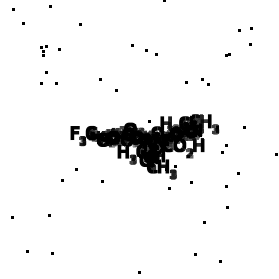 Cc1nc(C(=O)N2Cc3cc4c(cc3C[C@H]2C(=O)NC(Cc2ccc(-c3ccnc(C)c3C)cc2)C(=O)O)OC[C@H](c2ccc(OCCC(F)(F)F)cc2)O4)c(C)o1